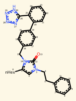 CCCCCCc1cn(CCc2ccccc2)c(=O)n1Cc1ccc(-c2ccccc2-c2nnn[nH]2)cc1